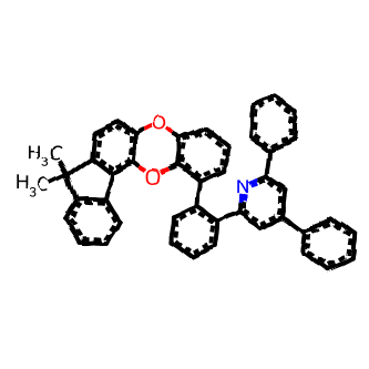 CC1(C)c2ccccc2-c2c1ccc1c2Oc2c(cccc2-c2ccccc2-c2cc(-c3ccccc3)cc(-c3ccccc3)n2)O1